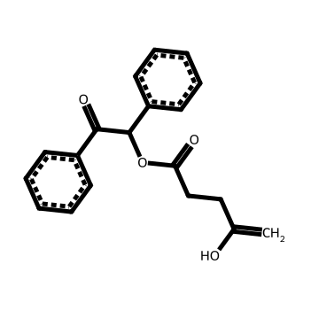 C=C(O)CCC(=O)OC(C(=O)c1ccccc1)c1ccccc1